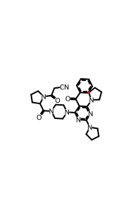 N#CCC(=O)N1CCCC1C(=O)N1CCN(c2nc(N3CCCC3)nc(N3CCCC3)c2C(=O)c2ccccc2)CC1